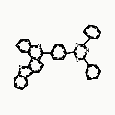 c1ccc(-c2nc(-c3ccccc3)nc(-c3ccc(-c4nc5ccccc5c5c4ccc4c6ccccc6sc45)cc3)n2)cc1